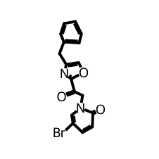 O=C(Cn1cc(Br)ccc1=O)c1nc(Cc2ccccc2)co1